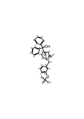 OC(c1ccccc1)(c1ccccc1)C12CC[N+](Cc3cccc(OC(F)(F)F)c3)(CC1)CC2.[Br-]